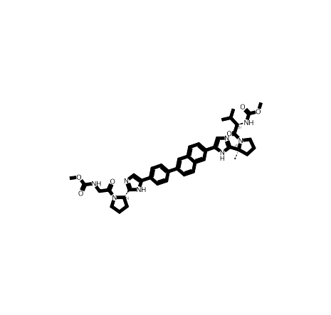 COC(=O)NCC(=O)N1CCC[C@H]1c1ncc(-c2ccc(-c3ccc4cc(-c5cnc([C@]6(C)CCCN6C(=O)[C@@H](NC(=O)OC)C(C)C)[nH]5)ccc4c3)cc2)[nH]1